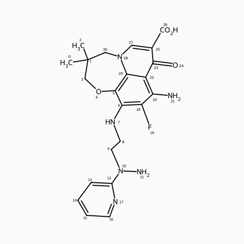 CC1(C)COc2c(NCCN(N)c3ccccn3)c(F)c(N)c3c(=O)c(C(=O)O)cn(c23)C1